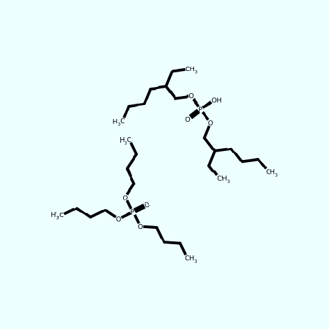 CCCCC(CC)COP(=O)(O)OCC(CC)CCCC.CCCCOP(=O)(OCCCC)OCCCC